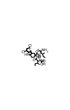 CCC(C)[C@H](NC(=O)O)C(=O)N[C@]1(C(=O)N[C@H](C(N)=S)C(C)CC)CCc2[nH]c3c(Cl)cc(Cl)cc3c2C1